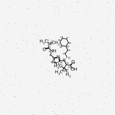 CN(C)C(=O)NCc1noc([C@H](CCCC2CCCCC2)C(C(=O)O)C(C)(C)C)n1